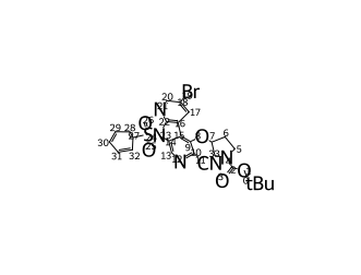 CC(C)(C)OC(=O)N1CCC(Oc2c(C#N)ncc3c2c2cc(Br)cnc2n3S(=O)(=O)c2ccccc2)C1